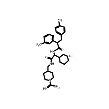 Cl.N#Cc1ccc(CC(C(=O)NC(C(=O)NCC2CCN(C(=N)N)CC2)C2CCCCC2)c2cccc(C(F)(F)F)c2)cc1